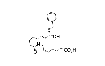 O=C(O)CCC/C=C\CN1C(=O)CCC[C@@H]1/C=C/C(O)SCc1ccccc1